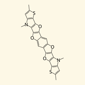 Cc1cc2c(s1)c1oc3c4cc5oc6c(oc7c8sc(C)cc8n(C)c67)c5cc4oc3c1n2C